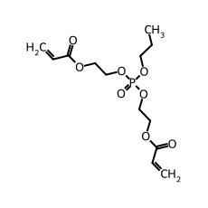 C=CC(=O)OCCOP(=O)(OCCC)OCCOC(=O)C=C